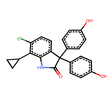 O=C1Nc2c(ccc(Cl)c2C2CC2)C1(c1ccc(O)cc1)c1ccc(O)cc1